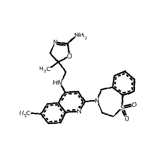 Cc1ccc2nc(N3CCS(=O)(=O)c4ccccc4C3)cc(NCC3(C)CN=C(N)O3)c2c1